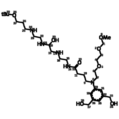 COCOCCOCCN(CCCC(=O)NCCNCC(O)NCCNCCCOC(C)(C)C)c1cc(CO)cc(CO)c1